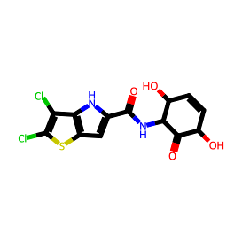 O=C(NC1C(=O)C(O)C=CC1O)c1cc2sc(Cl)c(Cl)c2[nH]1